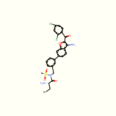 CC(C)C[C@H](N)C(=O)N(Cc1cccc(-c2ccc3c(N)c(C(=O)c4ccc(Cl)cc4Cl)oc3c2)c1)S(C)(=O)=O